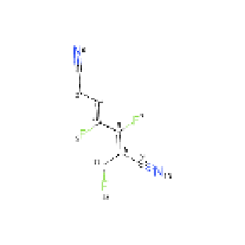 N#CC/C=C(F)/C(F)=C(/C#N)CF